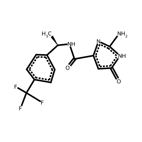 C[C@@H](NC(=O)c1cc(=O)[nH]c(N)n1)c1ccc(C(F)(F)F)cc1